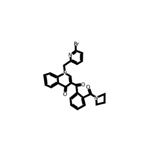 O=C(c1ccccc1C(=O)N1CCC1)c1cn(Cc2cccc(Br)n2)c2ccccc2c1=O